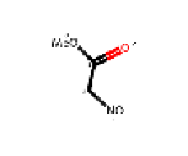 COC(=O)CN=O